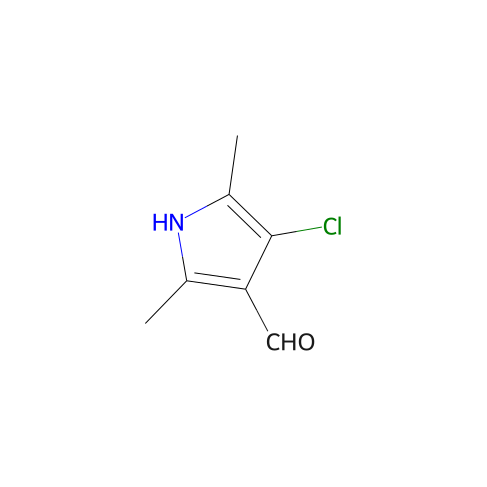 Cc1[nH]c(C)c(C=O)c1Cl